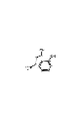 NCCCO.Oc1ccccc1